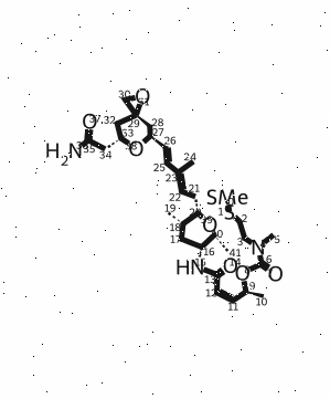 CSSCCN(C)C(=O)O[C@@H](C)/C=C\C(=O)N[C@@H]1C[C@H](C)[C@H](C/C=C(C)/C=C/[C@@H]2C[C@]3(CO3)C[C@@H](CC(N)=O)O2)O[C@@H]1C